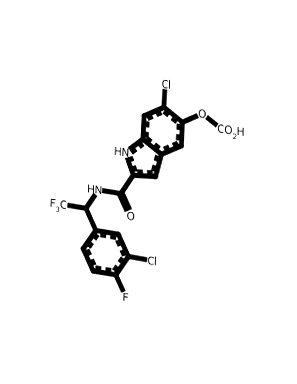 O=C(O)Oc1cc2cc(C(=O)NC(c3ccc(F)c(Cl)c3)C(F)(F)F)[nH]c2cc1Cl